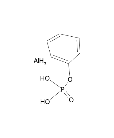 O=P(O)(O)Oc1ccccc1.[AlH3]